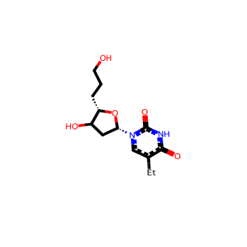 CCc1cn([C@@H]2CC(O)[C@H](CCCO)O2)c(=O)[nH]c1=O